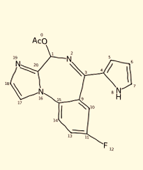 CC(=O)OC1N=C(c2ccc[nH]2)c2cc(F)ccc2-n2ccnc21